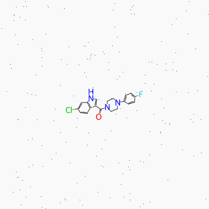 O=C(c1c[nH]c2cc(Cl)ccc12)N1CCN(c2ccc(F)cc2)CC1